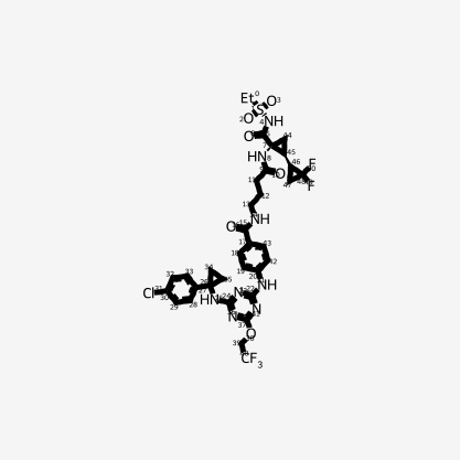 CCS(=O)(=O)NC(=O)[C@@]1(NC(=O)CCCNC(=O)c2ccc(Nc3nc(NC4(c5ccc(Cl)cc5)CC4)nc(OCC(F)(F)F)n3)cc2)C[C@H]1C1CC1(F)F